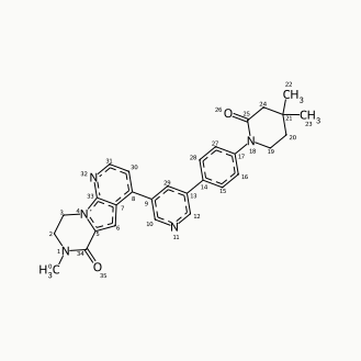 CN1CCn2c(cc3c(-c4cncc(-c5ccc(N6CCC(C)(C)CC6=O)cc5)c4)ccnc32)C1=O